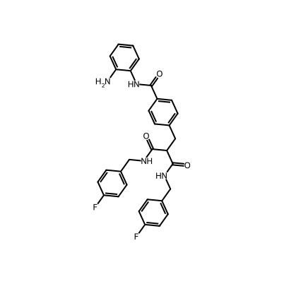 Nc1ccccc1NC(=O)c1ccc(CC(C(=O)NCc2ccc(F)cc2)C(=O)NCc2ccc(F)cc2)cc1